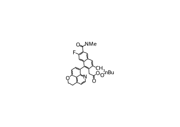 CCCCOOC(=O)Cc1c(C)cc2cc(C(=O)NC)c(F)cc2c1-c1ccc2c3c(ccnc13)CCO2